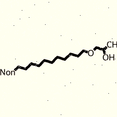 CCCCCCCCCCCCCCCCCCCCOC[C](C)O